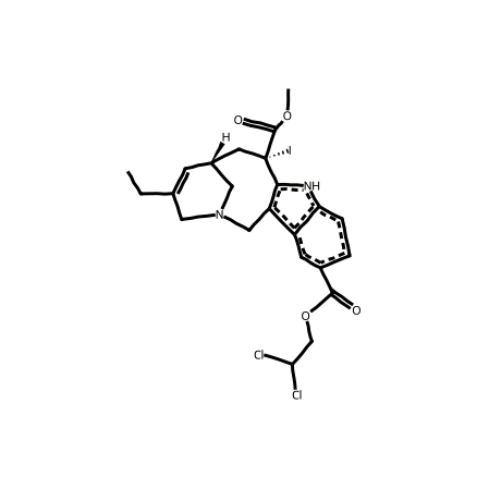 CCC1=C[C@H]2CN(C1)Cc1c([nH]c3ccc(C(=O)OCC(Cl)Cl)cc13)[C@](I)(C(=O)OC)C2